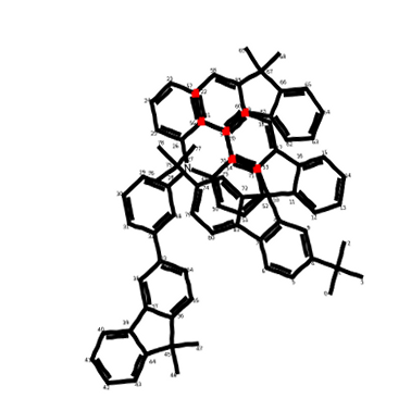 CC(C)(C)c1ccc2c(c1)C1(c3ccccc3-c3ccc(-c4ccccc4N(c4cccc(-c5ccc6c(c5)-c5ccccc5C6(C)C)c4)c4ccccc4-c4cccc5c4-c4ccccc4C5(C)C)cc31)c1cc(C(C)(C)C)ccc1-2